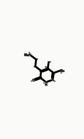 CCC(C)c1n[nH]c(=O)c(CCNC)c1C